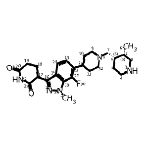 C[C@@H]1CNCC[C@@H]1CN1CCC(c2ccc3c(C4CCC(=O)NC4=O)nn(C)c3c2F)CC1